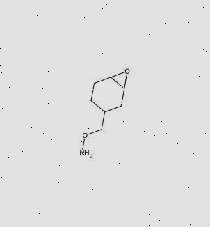 NOCC1CCC2OC2C1